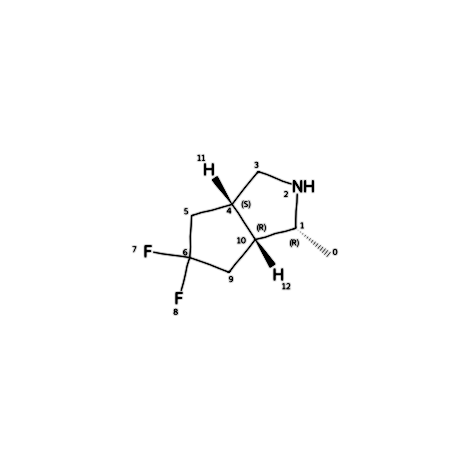 C[C@H]1NC[C@H]2CC(F)(F)C[C@H]21